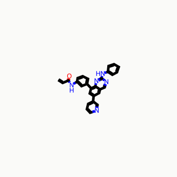 C=CC(=O)Nc1cccc(-c2cc(-c3cccnc3)cc3cnc(Nc4ccccc4)nc23)c1